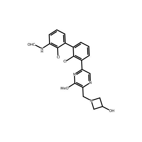 COc1nc(-c2cccc(-c3cccc(NC=O)c3Cl)c2Cl)cnc1CN1CC(O)C1